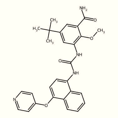 COc1c(NC(=O)Nc2ccc(Oc3ccncc3)c3ccccc23)cc(C(C)(C)C)cc1C(N)=O